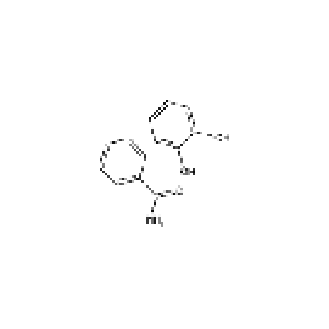 NC(=O)c1ccccc1.Oc1ccccc1O